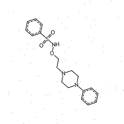 O=S(=O)(NOCCN1CCN(c2ccccc2)CC1)c1ccccc1